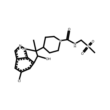 CC1(C2CCN(C(=O)NCS(C)(=O)=O)CC2)C(O)c2cc(Cl)cc3cnn1c23